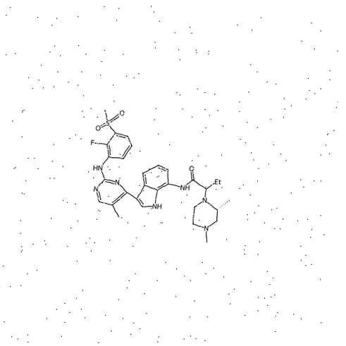 CCC(C(=O)Nc1cccc2c(-c3nc(Nc4cccc(S(C)(=O)=O)c4F)ncc3C)c[nH]c12)N1CCN(C)C[C@H]1C